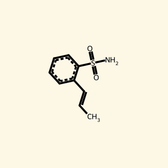 CC=Cc1ccccc1S(N)(=O)=O